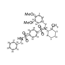 COc1ccc(CN(C2CCCCC2C)S(=O)(=O)c2ccc(S(=O)(=O)NCc3ccccc3)cc2)cc1OC